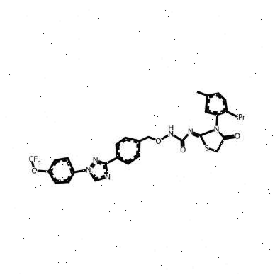 Cc1ccc(C(C)C)c(N2C(=O)CS/C2=N\C(=O)NOCc2ccc(-c3ncn(-c4ccc(OC(F)(F)F)cc4)n3)cc2)c1